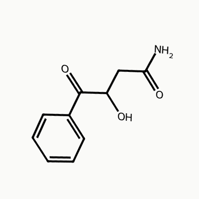 NC(=O)CC(O)C(=O)c1ccccc1